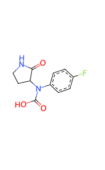 O=C1NCCC1N(C(=O)O)c1ccc(F)cc1